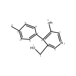 CCCc1cncc(CO)c1-c1ccc(C)cc1